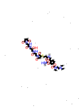 CCN(CC)CCN(CC)C(=O)Oc1ccc(C(CN(C)C(=O)CCSC2CC(=O)N(CCC(=O)NCC(O)CNC(=O)CCN3C(=O)C=CC3=O)C2=O)OC(=O)NC)cc1